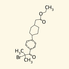 CCOC(=O)CC1CCC(c2ccc(C(=O)C(C)(C)Br)cc2)CC1